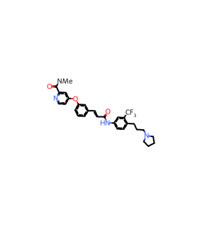 CNC(=O)c1cc(Oc2cccc(C=CC(=O)Nc3ccc(CCCN4CCCC4)c(C(F)(F)F)c3)c2)ccn1